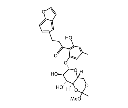 COC1(C)OC[C@H]2O[C@@H](Oc3cc(C)cc(O)c3C(=O)CCc3ccc4occc4c3)[C@H](O)[C@@H](O)[C@@H]2O1